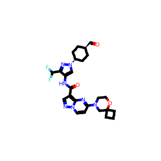 O=C[C@H]1CC[C@H](n2cc(NC(=O)c3cnn4ccc(N5CCOC6(CCC6)C5)nc34)c(C(F)F)n2)CC1